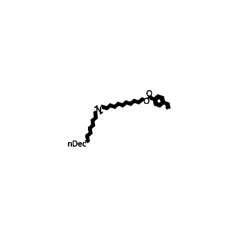 C=Cc1ccc(C(=O)OCCCCCCCCCCC[N+](C)(C)CCCCCCCCCCCCCCCCCC)cc1